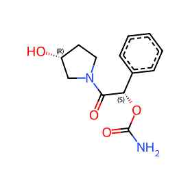 NC(=O)O[C@H](C(=O)N1CC[C@@H](O)C1)c1ccccc1